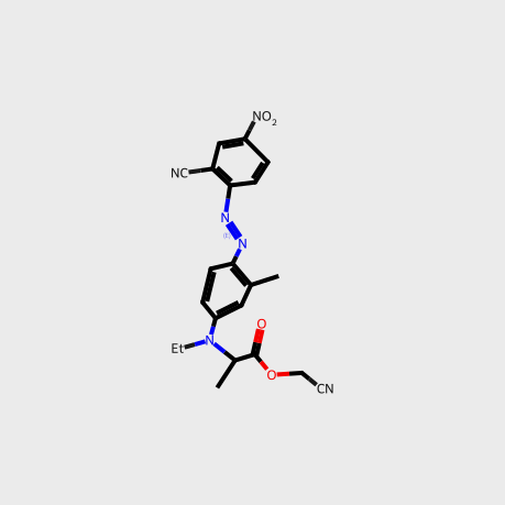 CCN(c1ccc(/N=N/c2ccc([N+](=O)[O-])cc2C#N)c(C)c1)C(C)C(=O)OCC#N